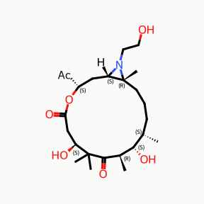 CC(=O)[C@@H]1C[C@@H]2N(CCO)[C@]2(C)CCC[C@H](C)[C@H](O)[C@@H](C)C(=O)C(C)(C)[C@@H](O)CC(=O)O1